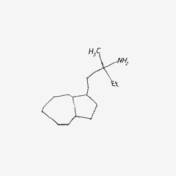 CCC(C)(N)CC1CCC2CCCC21